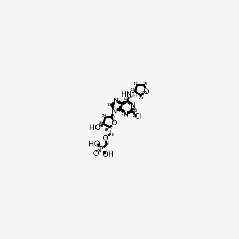 O=P(O)(O)COC[C@H]1OC(n2cnc3c(N[C@@H]4CCOC4)nc(Cl)nc32)C[C@@H]1O